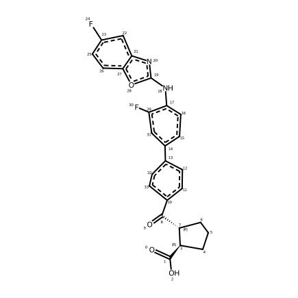 O=C(O)[C@@H]1CCC[C@H]1C(=O)c1ccc(-c2ccc(Nc3nc4cc(F)ccc4o3)c(F)c2)cc1